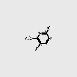 CC(=O)Oc1nc(Cl)ncc1F